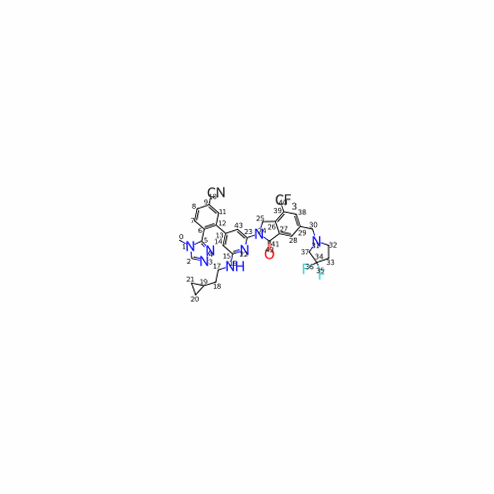 Cn1cnnc1-c1ccc(C#N)cc1-c1cc(NCCC2CC2)nc(N2Cc3c(cc(CN4CCC(F)(F)C4)cc3C(F)(F)F)C2=O)c1